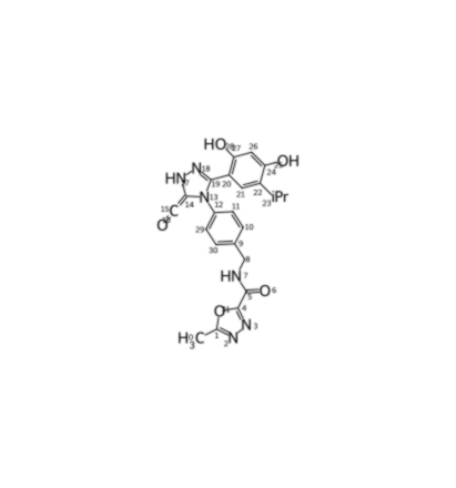 Cc1nnc(C(=O)NCc2ccc(N3C(=C=O)NN=C3c3cc(C(C)C)c(O)cc3O)cc2)o1